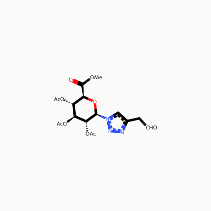 COC(=O)[C@H]1O[C@@H](n2cc(CC=O)nn2)[C@H](OC(C)=O)[C@@H](OC(C)=O)[C@@H]1OC(C)=O